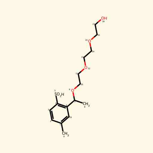 Cc1ccc(S(=O)(=O)O)c(C(C)OCCOCCOCCO)c1